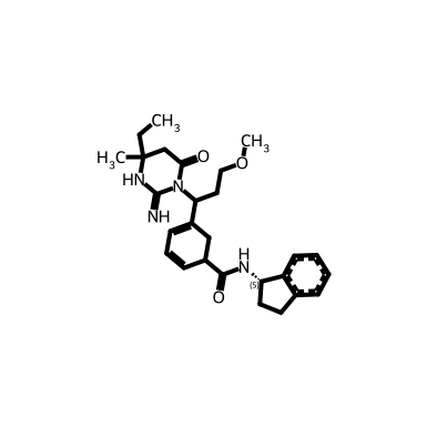 CCC1(C)CC(=O)N(C(CCOC)C2=CC=CC(C(=O)N[C@H]3CCc4ccccc43)C2)C(=N)N1